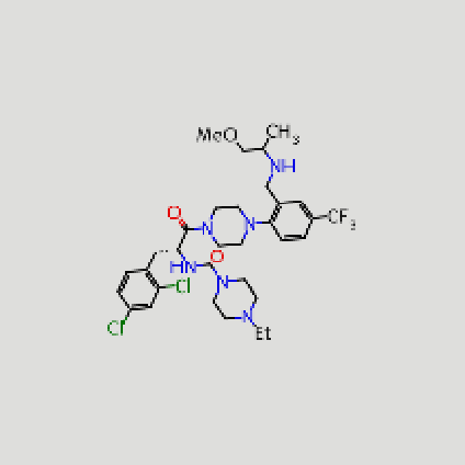 CCN1CCN(C(=O)N[C@H](Cc2ccc(Cl)cc2Cl)C(=O)N2CCN(c3ccc(C(F)(F)F)cc3CNC(C)COC)CC2)CC1